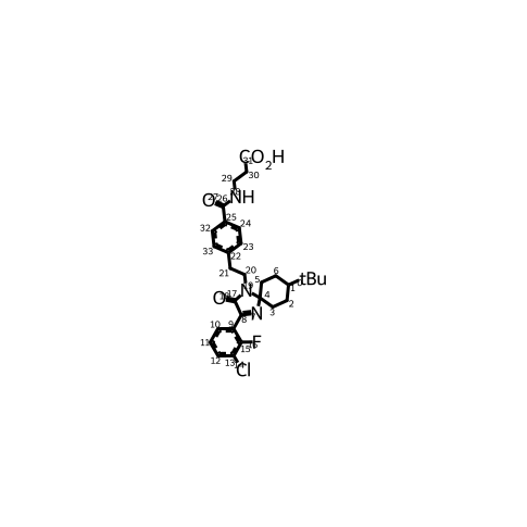 CC(C)(C)C1CCC2(CC1)N=C(c1cccc(Cl)c1F)C(=O)N2CCc1ccc(C(=O)NCCC(=O)O)cc1